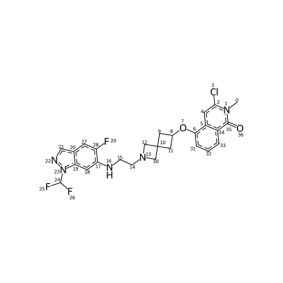 Cn1c(Cl)cc2c(OC3CC4(C3)CN(CCNc3cc5c(cnn5C(F)F)cc3F)C4)cccc2c1=O